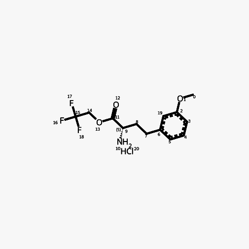 COc1cccc(CC[C@H](N)C(=O)OCC(F)(F)F)c1.Cl